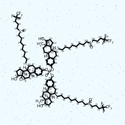 C[C@]12CC[C@@H]3c4ccc(OP(=O)(Oc5ccc6c(c5)C[C@@H](CCCCCCCCC[S+]([O-])CCCC(F)(F)C(F)(F)F)[C@@H]5[C@@H]6CC[C@]6(C)[C@@H](O)CC[C@@H]56)Oc5ccc6c(c5)C[C@@H](CCCCCCCCC[S+]([O-])CCCC(F)(F)C(F)(F)F)[C@@H]5[C@@H]6CC[C@]6(C)[C@@H](O)CC[C@@H]56)cc4C[C@@H](CCCCCCCCC[S+]([O-])CCCC(F)(F)C(F)(F)F)[C@H]3[C@@H]1CC[C@@H]2O